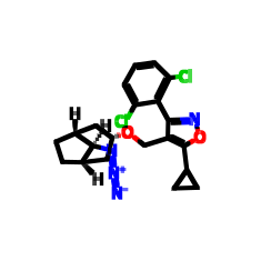 [N-]=[N+]=N[C@@H]1[C@@H]2CC[C@H]1C[C@@H](OCc1c(-c3c(Cl)cccc3Cl)noc1C1CC1)C2